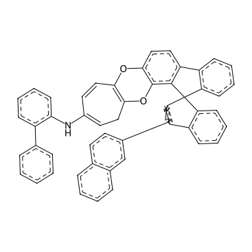 C1=CC2=C(CC=C1Nc1ccccc1-c1ccccc1)Oc1c(ccc3c1C1(c4ccccc4-c4cc(-c5ccc6ccccc6c5)ccc41)c1ccccc1-3)O2